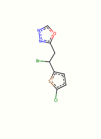 Clc1ccc(C(Br)Cc2nnco2)s1